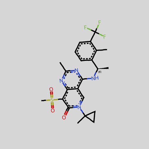 Cc1nc(N[C@H](C)c2cccc(C(F)(F)F)c2C)c2cn(C3(C)CC3)c(=O)c(S(C)(=O)=O)c2n1